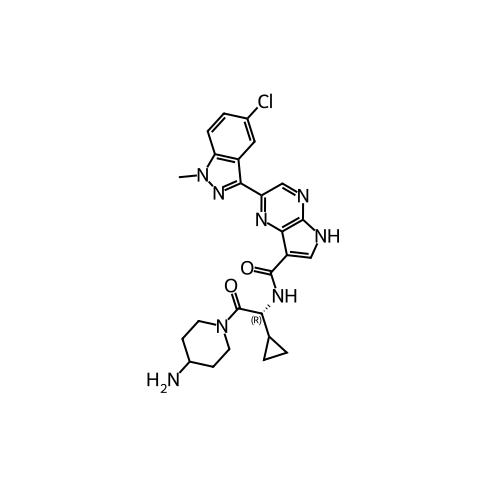 Cn1nc(-c2cnc3[nH]cc(C(=O)N[C@@H](C(=O)N4CCC(N)CC4)C4CC4)c3n2)c2cc(Cl)ccc21